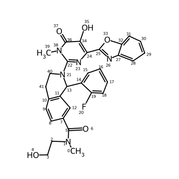 CN(CCO)C(=O)c1ccc2c(c1)C(c1ccccc1F)N(c1nc(-c3nc4ccccc4o3)c(O)c(=O)n1C)CC2